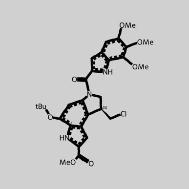 COC(=O)c1cc2c3c(cc(OC(C)(C)C)c2[nH]1)N(C(=O)c1cc2cc(OC)c(OC)c(OC)c2[nH]1)C[C@H]3CCl